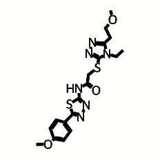 CCn1c(CCOC)nnc1SCC(=O)Nc1nnc(-c2ccc(OC)cc2)s1